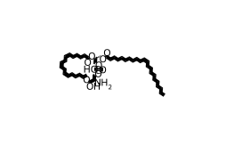 CCCCC/C=C\C/C=C\C/C=C\CCCCC(=O)O[C@H](COC(=O)CCCCCCCCC/C=C\CCCCCCCCCC)COP(=O)(O)OC[C@H](N)C(=O)O